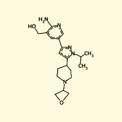 CC(C)n1nc(-c2cnc(N)c(CO)c2)cc1C1CCN(C2COC2)CC1